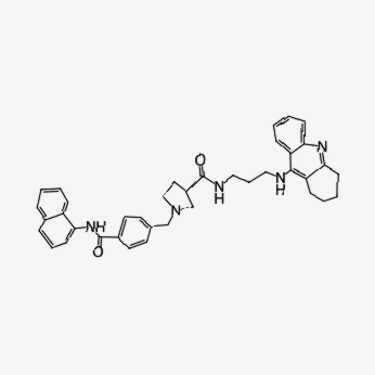 O=C(Nc1cccc2ccccc12)c1ccc(CN2CCC(C(=O)NCCCNc3c4c(nc5ccccc35)CCCC4)C2)cc1